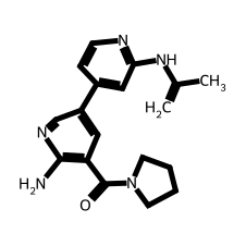 C=C(C)Nc1cc(-c2cnc(N)c(C(=O)N3CCCC3)c2)ccn1